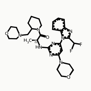 C[C@H](Nc1nc(N2CCOCC2)cc(-n2c(C(F)F)nc3ccccc32)n1)C(=O)N1CCCCC1CN1CCOCC1